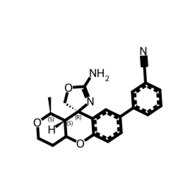 C[C@@H]1OCCC2Oc3ccc(-c4cccc(C#N)c4)cc3[C@@]3(COC(N)=N3)[C@H]21